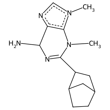 CN1C(C2CC3CCC2C3)=NC(N)c2ncn(C)c21